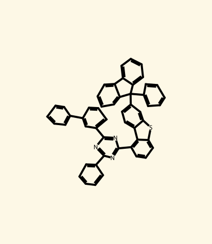 c1ccc(-c2cccc(-c3nc(-c4ccccc4)nc(-c4cccc5sc6cc(C7(c8ccccc8)c8ccccc8-c8ccccc87)ccc6c45)n3)c2)cc1